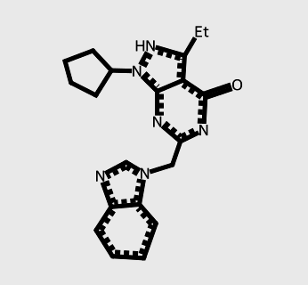 CCc1[nH]n(C2CCCC2)c2nc(Cn3cnc4ccccc43)nc(=O)c1-2